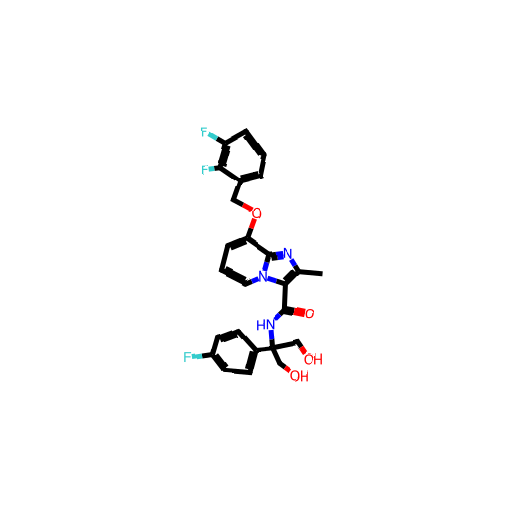 Cc1nc2c(OCc3cccc(F)c3F)cccn2c1C(=O)NC(CO)(CO)c1ccc(F)cc1